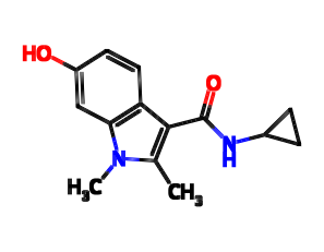 Cc1c(C(=O)NC2CC2)c2ccc(O)cc2n1C